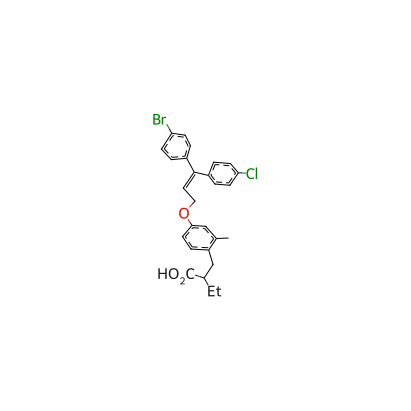 CCC(Cc1ccc(OC/C=C(\c2ccc(Cl)cc2)c2ccc(Br)cc2)cc1C)C(=O)O